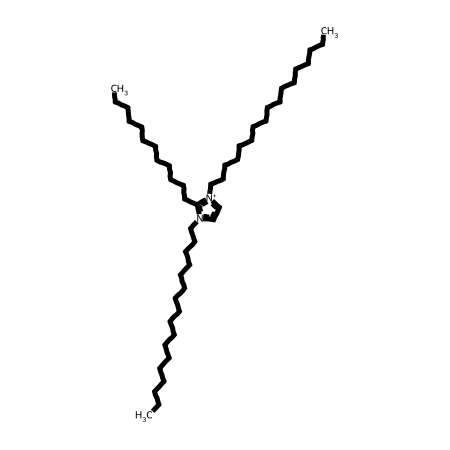 CCCCCCCCCCCCCCCCCn1cc[n+](CCCCCCCCCCCCCCCCC)c1CCCCCCCCCCCC